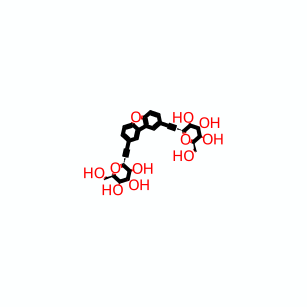 OC[C@H]1O[C@H](C#Cc2ccc3oc4ccc(C#C[C@H]5O[C@H](CO)[C@@H](O)[C@H](O)[C@@H]5O)cc4c3c2)[C@@H](O)[C@@H](O)[C@@H]1O